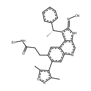 CCNC(=O)CCc1cc2c(cc1-c1c(C)noc1C)ncc1[nH]/c(=N\C#N)n([C@H](C)c3ccccc3)c12